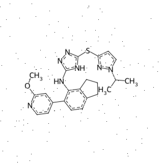 COc1cc(-c2ccc3c(c2Nc2nnc(Sc4ccn(C(C)C)n4)[nH]2)CCC3)ccn1